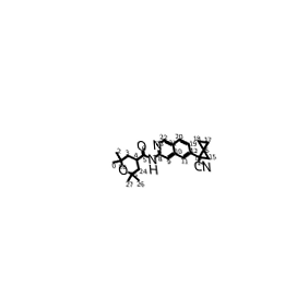 CC1(C)CC(C(=O)Nc2cc3cc(C4(C#N)CC45CC5)ccc3cn2)CC(C)(C)O1